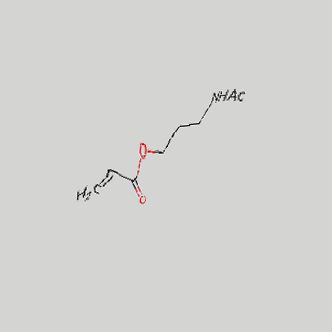 C=CC(=O)OCCCNC(C)=O